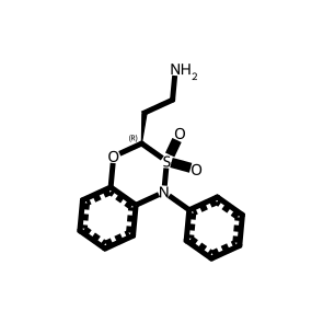 NCC[C@@H]1Oc2ccccc2N(c2ccccc2)S1(=O)=O